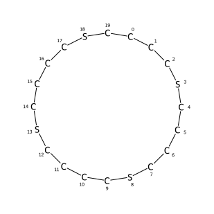 C1CCSCCCCSCCCCSCCCCSC1